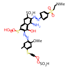 CNCCS(=O)(=O)c1ccc(N=Nc2c(S(=O)(=O)O)cc3cc(SOOO)c(N=Nc4cc(C)c(SC#COOS(=O)(=O)O)cc4OC)c(O)c3c2N)cc1